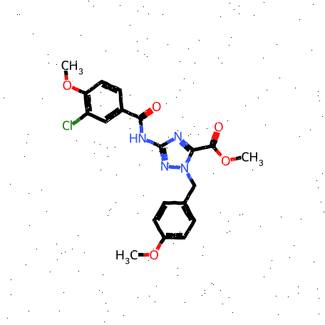 COC(=O)c1nc(NC(=O)c2ccc(OC)c(Cl)c2)nn1Cc1ccc(OC)cc1